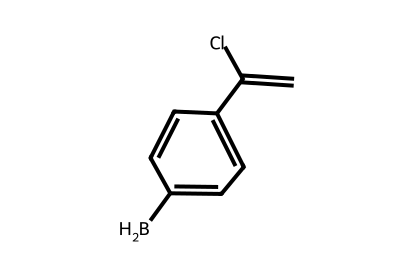 Bc1ccc(C(=C)Cl)cc1